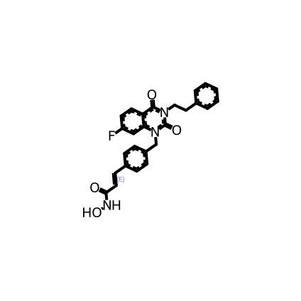 O=C(/C=C/c1ccc(Cn2c(=O)n(CCc3ccccc3)c(=O)c3ccc(F)cc32)cc1)NO